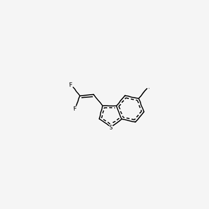 [CH2]c1ccc2scc(C=C(F)F)c2c1